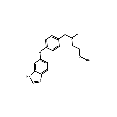 CN(CCOC(C)(C)C)Cc1ccc(Oc2ccc3nc[nH]c3c2)cc1